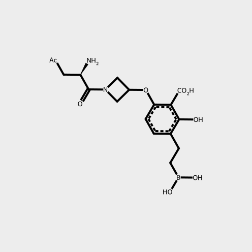 CC(=O)C[C@@H](N)C(=O)N1CC(Oc2ccc(CCB(O)O)c(O)c2C(=O)O)C1